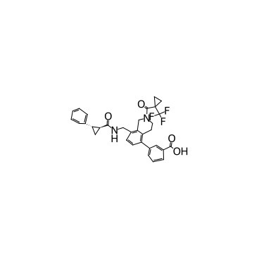 O=C(O)c1cccc(-c2ccc(CNC(=O)[C@H]3C[C@@H]3c3ccccc3)c3c2CCN(C(=O)C2(C(F)(F)F)CC2)C3)c1